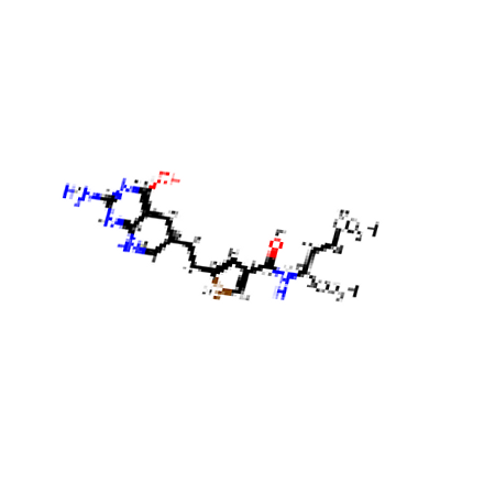 Nc1nc(O)c2c(n1)NCC(CCc1cc(C(=O)N[C@@H](CCC(=O)O)C(=O)O)cs1)C2